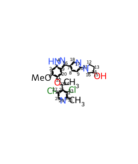 COc1cc2[nH]nc(-c3ccc(N4CC[C@@H](O)C4)nc3)c2cc1O[C@H](C)c1c(Cl)cnc(C)c1Cl